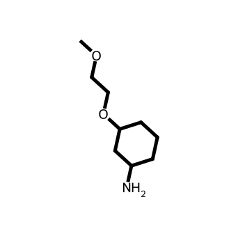 COCCOC1CCCC(N)C1